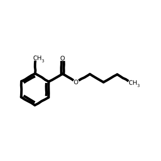 CCCCOC(=O)c1ccccc1C